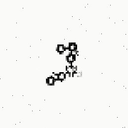 Clc1nc(-c2ccc3c(c2)sc2ccccc23)nc(-c2ccc3c(c2)sc2cccc(-c4ccccc4)c23)n1